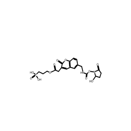 O=C(Cc1cc2cc(CNC(=O)ON3C(=O)CCC3O)ccc2oc1=O)OCCCP(=O)(O)O